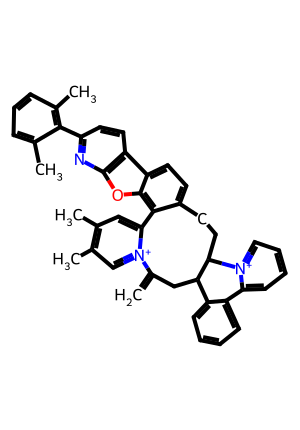 C=C1CC2c3ccccc3-c3cccc[n+]3C2CCc2ccc3c(oc4nc(-c5c(C)cccc5C)ccc43)c2-c2cc(C)c(C)c[n+]21